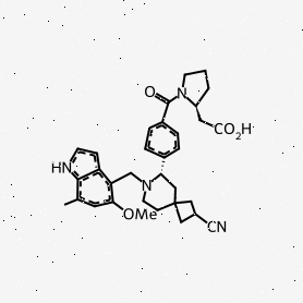 COc1cc(C)c2[nH]ccc2c1CN1CCC2(CC(C#N)C2)C[C@H]1c1ccc(C(=O)N2CCC[C@H]2CC(=O)O)cc1